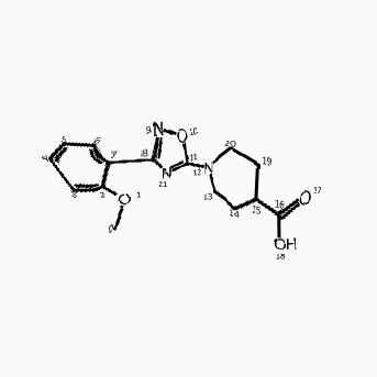 COc1ccccc1-c1noc(N2CCC(C(=O)O)CC2)n1